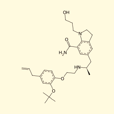 C=CCc1ccc(OCCN[C@H](C)Cc2cc3c(c(C(N)=O)c2)N(CCCO)CC3)c(OC(C)(C)C)c1